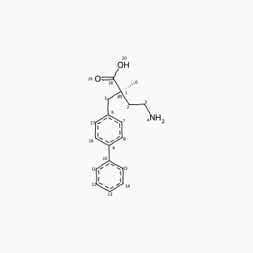 C[C@](CCN)(Cc1ccc(-c2ccccc2)cc1)C(=O)O